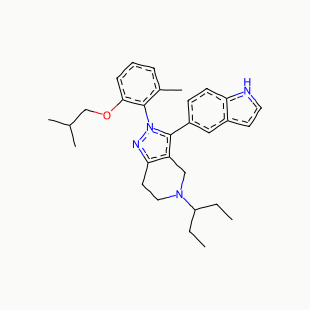 CCC(CC)N1CCc2nn(-c3c(C)cccc3OCC(C)C)c(-c3ccc4[nH]ccc4c3)c2C1